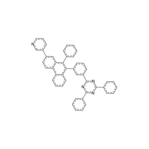 c1ccc(-c2nc(-c3ccccc3)nc(-c3cccc(-c4c(-c5ccccc5)c5cc(-c6cccnc6)ccc5c5ccccc45)c3)n2)cc1